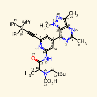 Cc1nc(-c2cc(C#C[Si](C(C)C)(C(C)C)C(C)C)nc(NC(=O)C(C)N(CC(C)(C)C)C(=O)O)c2)c2c(n1)c(C)nn2C